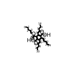 CCCC=COC(=O)c1c(C=CCCC)c(C(=O)O)c(C=CCCC)c(C=CCCC)c1C(=O)O